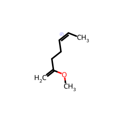 C=C(CC/C=C\C)OC